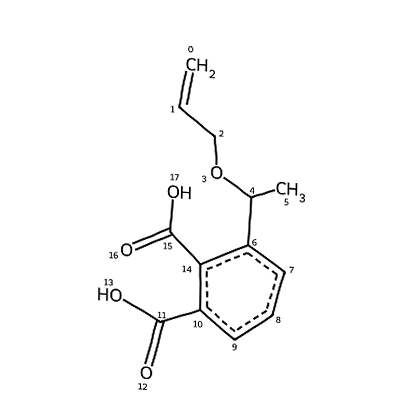 C=CCOC(C)c1cccc(C(=O)O)c1C(=O)O